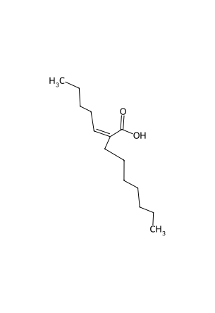 CCCCC=C(CCCCCCC)C(=O)O